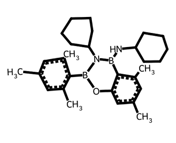 Cc1cc(C)c(B2Oc3cc(C)cc(C)c3B(NC3CCCCC3)N2C2CCCCC2)c(C)c1